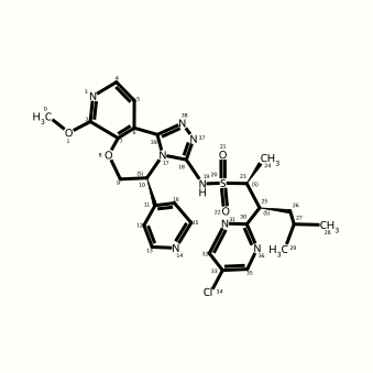 COc1nccc2c1OC[C@H](c1ccncc1)n1c(NS(=O)(=O)[C@@H](C)[C@@H](CC(C)C)c3ncc(Cl)cn3)nnc1-2